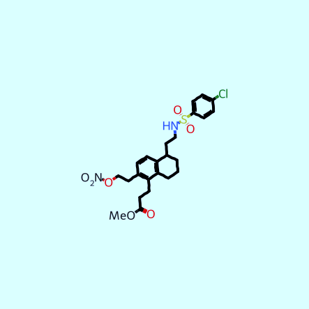 COC(=O)CCc1c(CCO[N+](=O)[O-])ccc2c1CCCC2CCNS(=O)(=O)c1ccc(Cl)cc1